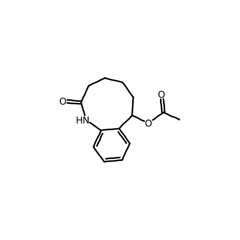 CC(=O)OC1CCCCC(=O)Nc2ccccc21